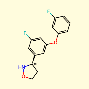 Fc1cccc(Oc2cc(F)cc([C@H]3CCON3)c2)c1